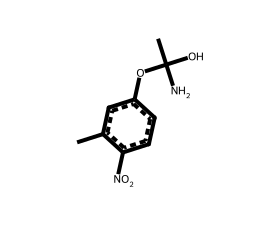 Cc1cc(OC(C)(N)O)ccc1[N+](=O)[O-]